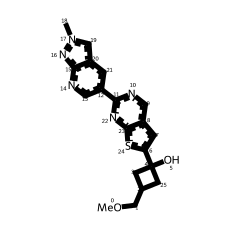 COCC1CC(O)(c2cc3cnc(-c4cnc5nn(C)cc5c4)nc3s2)C1